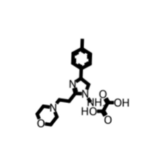 Cc1ccc(C2CN(N)C(CCN3CCOCC3)=N2)cc1.O=C(O)C(=O)O